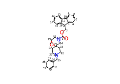 O=C(OCC1c2ccccc2-c2ccccc21)N1CCOC2(CCN(Cc3ccccc3)CC2)C1